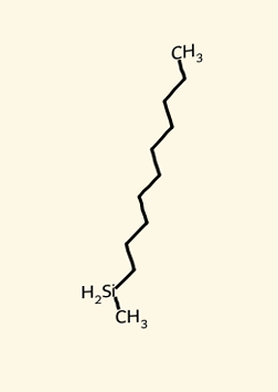 CCCCCCCCCC[SiH2]C